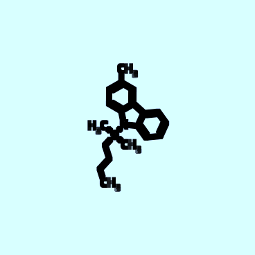 CCCC[Si](C)(C)n1c2ccccc2c2cc(C)ccc21